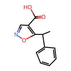 CC(c1ccccc1)c1oncc1C(=O)O